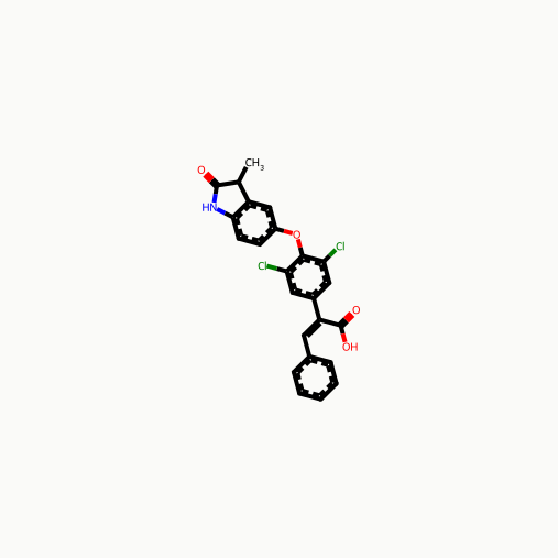 CC1C(=O)Nc2ccc(Oc3c(Cl)cc(C(=Cc4ccccc4)C(=O)O)cc3Cl)cc21